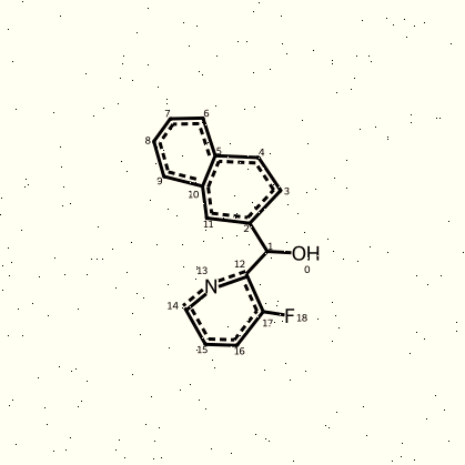 OC(c1ccc2ccccc2c1)c1ncccc1F